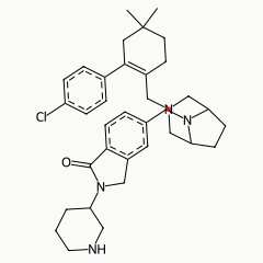 CC1(C)CCC(CN2CC3CCC(C2)N3Cc2ccc3c(c2)CN(C2CCCNC2)C3=O)=C(c2ccc(Cl)cc2)C1